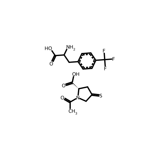 CC(=O)N1CC(=S)C[C@H]1C(=O)O.NC(Cc1ccc(C(F)(F)F)cc1)C(=O)O